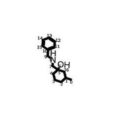 CC1CCCC(O)(CNCc2ccccc2)C1